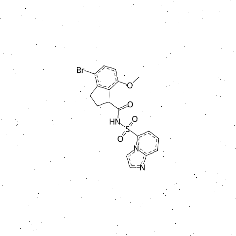 COc1ccc(Br)c2c1C(C(=O)NS(=O)(=O)c1cccc3nccn13)CC2